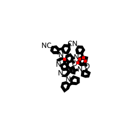 N#Cc1ccc2c(c1)c1cc(C#N)ccc1n2-c1cnc2c(c1)C1(c3cc(-n4c5ccccc5c5ccccc54)cnc3-2)c2cccc(N3c4ccccc4Oc4ccccc43)c2Oc2c(-n3c4ccccc4c4ccccc43)cccc21